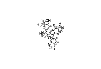 COc1cc(-n2c(C(C)(C)CC#N)c([C@H]3CC[C@](C)(C(=O)O)OC3)c3c(F)c4[nH]ncc4cc32)ccc1F